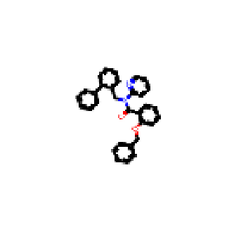 O=C(c1ccccc1OCc1ccccc1)N(Cc1ccccc1-c1ccccc1)c1ccccn1